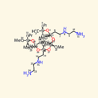 CCC[Si](C)(OC)O[Si](CCNCCN)(OC)O[Si](CCC)(OC)O[Si](CCNCCN)(OC)O[Si](CCC)(OC)O[Si](CCC)(OC)OC